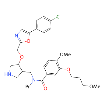 COCCCOc1cc(C(=O)N(CC2CNCC2OCc2ncc(-c3ccc(Cl)cc3)o2)C(C)C)ccc1OC